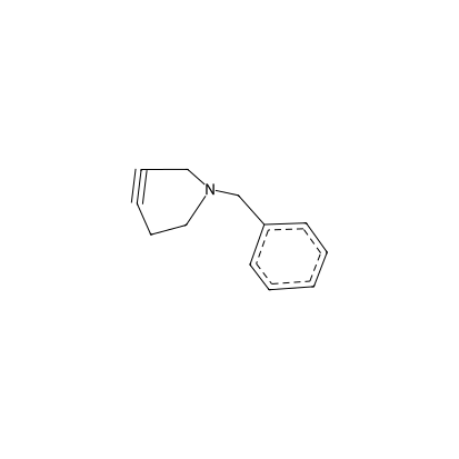 C1#CCN(Cc2ccccc2)CC1